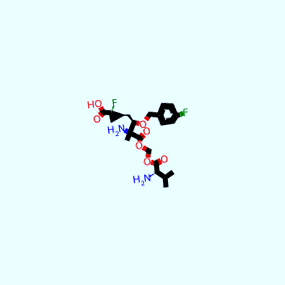 CC(C)[C@H](N)C(=O)OCOC(=O)C(C)(N)[C@@H](C[C@@H]1C[C@@]1(F)C(=O)O)OCc1ccc(F)cc1